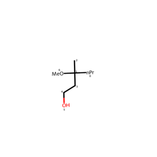 CCCC(C)(CCO)OC